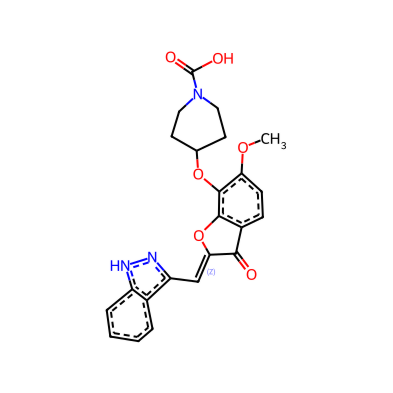 COc1ccc2c(c1OC1CCN(C(=O)O)CC1)O/C(=C\c1n[nH]c3ccccc13)C2=O